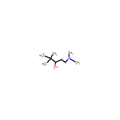 CN(C)CCC(O)C(C)(C)C